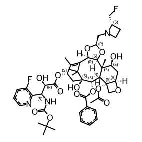 CC(=O)O[C@@]12CO[C@@H]1C[C@H](O)[C@@]1(C)[C@@H]3O[C@H](CN4CC[C@H]4CF)O[C@@H]3C3=C(C)[C@@H](OC(=O)[C@H](O)[C@@H](NC(=O)OC(C)(C)C)c4ncccc4F)C[C@@](O)([C@@H](OC(=O)c4ccccc4)[C@H]21)C3(C)C